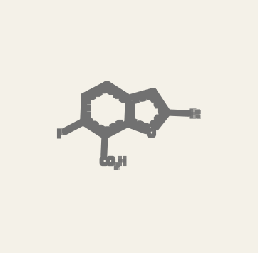 CCc1cc2ccc(F)c(C(=O)O)c2o1